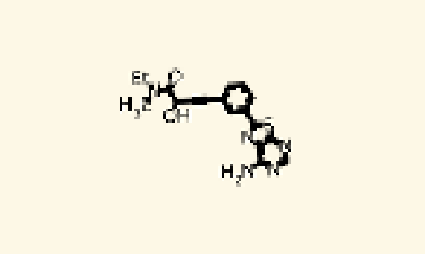 CCN(C)C(=O)C(O)C#Cc1cccc(-c2nc3c(N)ncnc3s2)c1